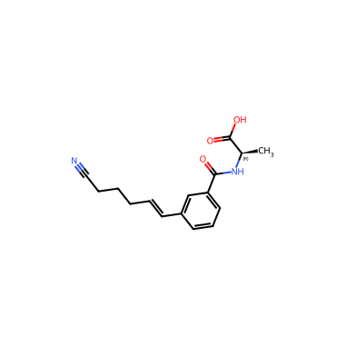 C[C@@H](NC(=O)c1cccc(C=CCCCC#N)c1)C(=O)O